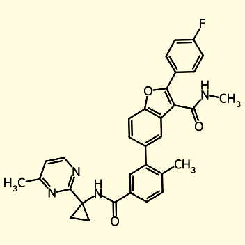 CNC(=O)c1c(-c2ccc(F)cc2)oc2ccc(-c3cc(C(=O)NC4(c5nccc(C)n5)CC4)ccc3C)cc12